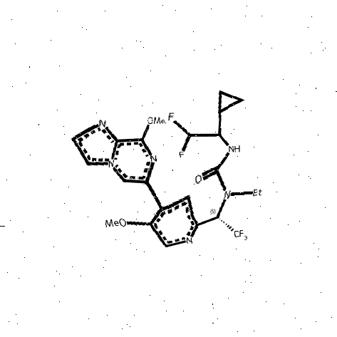 CCN(C(=O)NC(C(F)F)C1CC1)[C@@H](c1cc(-c2cn3ccnc3c(OC)n2)c(OC)cn1)C(F)(F)F